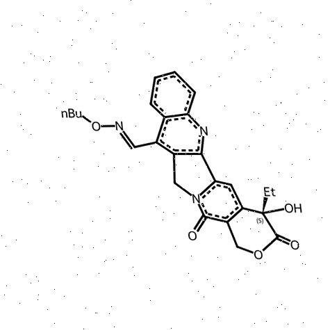 CCCCON=Cc1c2c(nc3ccccc13)-c1cc3c(c(=O)n1C2)COC(=O)[C@]3(O)CC